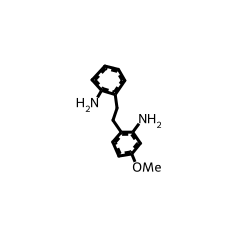 COc1ccc(CCc2ccccc2N)c(N)c1